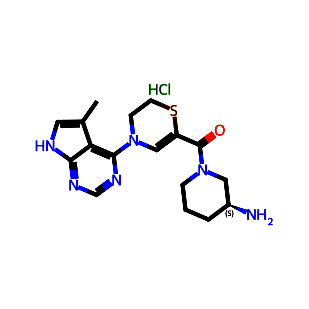 Cc1c[nH]c2ncnc(N3C=C(C(=O)N4CCC[C@H](N)C4)SCC3)c12.Cl